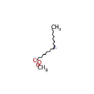 CCCCCCCC/C=C\CCCCCCCC(=O)OOC